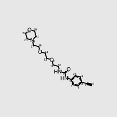 C#Cc1ccc(NC(=O)NCCOCCOCCN2CCOCC2)cc1